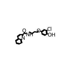 O=C(NCCCCOc1ccc(O)c(Cl)c1)c1ccc2ccccc2n1